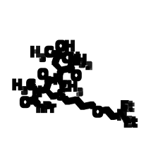 CCCC(=O)N(C)[C@H](CSCCCCOCCN(CC)CC)C(=O)N(C)[C@@H](CC(C)(C)O)C(N)=O